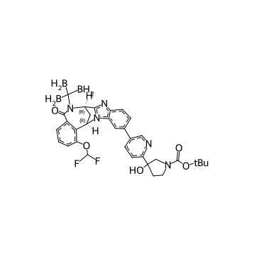 BC(B)(B)N1C(=O)c2cccc(OC(F)F)c2[C@H]2C[C@@H]1c1nc3ccc(-c4ccc(C5(O)CCN(C(=O)OC(C)(C)C)C5)nc4)cc3n12